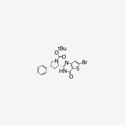 CC(C)(C)OC(=O)N1C[C@@H](c2ccccc2)C[C@H]1c1nc2cc(Br)sc2c(=O)[nH]1